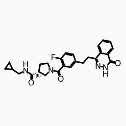 O=C(NCC1CC1)[C@@H]1CCN(C(=O)c2cc(CCc3n[nH]c(=O)c4ccccc34)ccc2F)C1